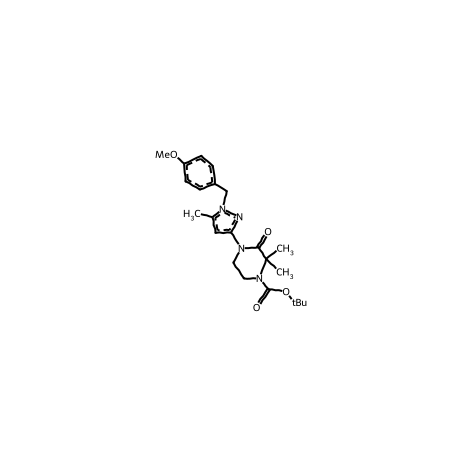 COc1ccc(Cn2nc(N3CCN(C(=O)OC(C)(C)C)C(C)(C)C3=O)cc2C)cc1